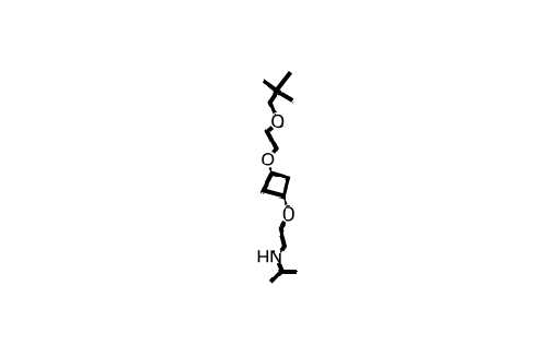 CC(C)NCCO[C@H]1C[C@H](OCCOCC(C)(C)C)C1